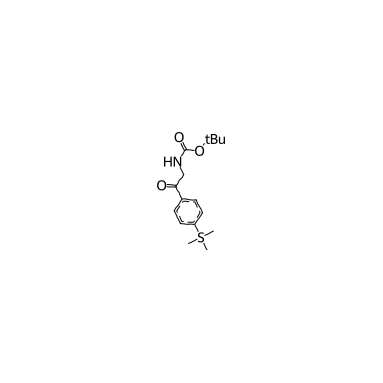 CC(C)(C)OC(=O)NCC(=O)c1ccc(S(C)(C)C)cc1